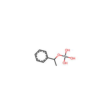 CC(O[Si](O)(O)O)c1ccccc1